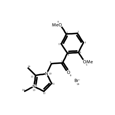 COc1ccc(OC)c(C(=O)Cn2cc[n+](C)c2C)c1.[Br-]